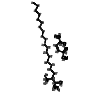 CCCCCCCCCCCCCCCCCCC(C(N)=O)N(C)C.O=C(O)/C=C\C(=O)O